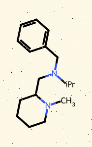 CC(C)N(Cc1ccccc1)CC1CCCCN1C